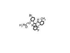 Cc1cccc(C)c1Nc1c(-c2ccc(Br)cc2OCC(N)=O)nc2ccc(F)cn12